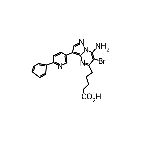 Nc1c(Br)c(CCCCC(=O)O)nc2c(-c3ccc(-c4ccccc4)nc3)cnn12